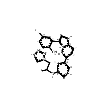 CC(Cn1cnnn1)Oc1cncc(-c2ccc3ncc(-c4cc(F)ccc4C#N)n3n2)n1